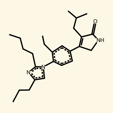 CCCCc1nc(CCC)cn1-c1ccc(C2=C(CC(C)C)C(=O)NC2)cc1CC